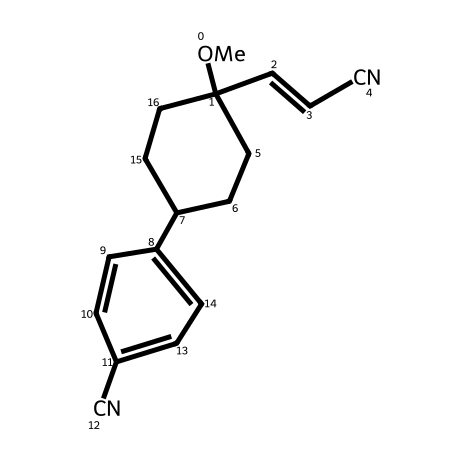 COC1(C=CC#N)CCC(c2ccc(C#N)cc2)CC1